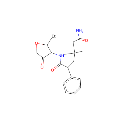 CCC1OCC(=O)C1NC(=O)C(CC(C)(C)CC(N)=O)c1ccccc1